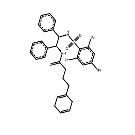 CC(C)c1cc(C(C)C)c(S(=O)(=O)N[C@H](c2ccccc2)[C@@H](NC(=O)CCCC2=CCC=CC2)c2ccccc2)c(C(C)C)c1